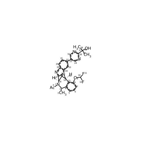 CC(=O)N1[C@H](C)c2cccc(OC(F)F)c2[C@H]2C[C@@H]1c1nc3ccc(-c4cnc(C(C)(C)O)nc4)cc3n12